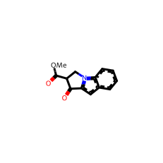 COC(=O)C1Cn2c(cc3ccccc32)C1=O